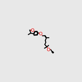 C#CCOC(C)(C)CCCC(C)=CCOc1ccc2c(c1)OCC2C